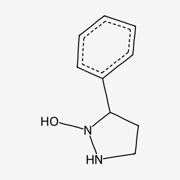 ON1NCCC1c1ccccc1